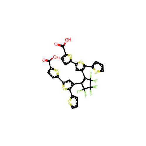 O=C(O)c1ccc(-c2cc(C3=C(c4cc(-c5ccc(C(=O)O)s5)sc4-c4cccs4)C(F)(F)C(F)(F)C3(F)F)c(-c3cccs3)s2)s1